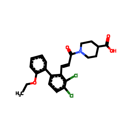 CCOc1ccccc1-c1c[c]c(Cl)c(Cl)c1/C=C/C(=O)N1CCC(C(=O)O)CC1